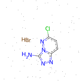 Br.Nc1nnc2ccc(Cl)nn12